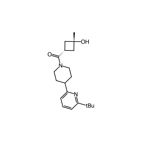 CC(C)(C)c1cccc(C2CCN(C(=O)[C@H]3C[C@@](C)(O)C3)CC2)n1